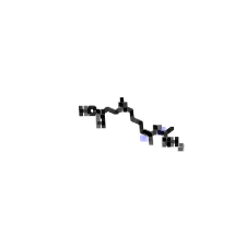 CC(=C/CCCN(C)CCNO)/N=C(/C)N